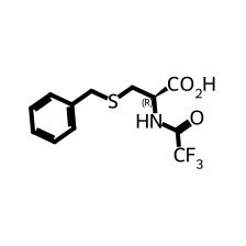 O=C(O)[C@H](CSCc1ccccc1)NC(=O)C(F)(F)F